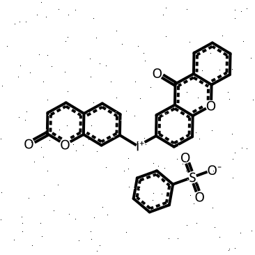 O=S(=O)([O-])c1ccccc1.O=c1ccc2ccc([I+]c3ccc4oc5ccccc5c(=O)c4c3)cc2o1